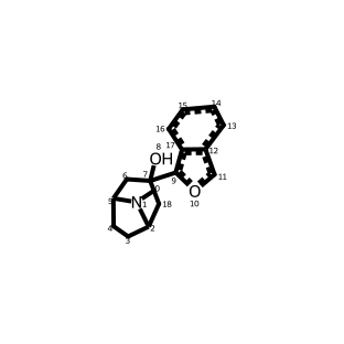 CN1C2CCC1CC(O)(c1occ3ccccc13)C2